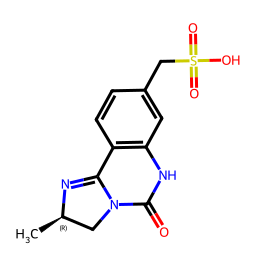 C[C@@H]1CN2C(=O)Nc3cc(CS(=O)(=O)O)ccc3C2=N1